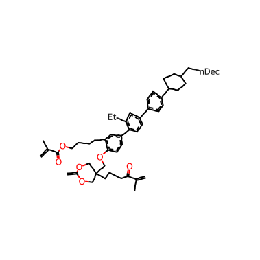 C=C1OCC(CCCC(=O)C(=C)C)(COc2ccc(-c3ccc(-c4ccc(C5CCC(CCCCCCCCCCC)CC5)cc4)cc3CC)cc2CCCCOC(=O)C(=C)C)CO1